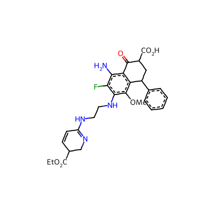 CCOC(=O)C1C=CC(NCCNc2c(F)c(N)c3c(c2OC)C(c2ccccc2)CC(C(=O)O)C3=O)=NC1